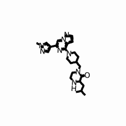 CC(C)CC1NCCN(CC2CCN(c3nc(-c4cnn(C)c4)cn4nccc34)CC2)C1=O